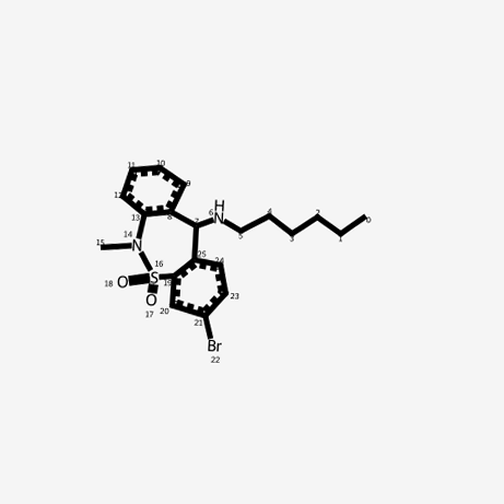 CCCCCCNC1c2ccccc2N(C)S(=O)(=O)c2cc(Br)ccc21